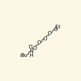 CCOCCOCCOCCOCCOC(=O)NCCC(C)CC